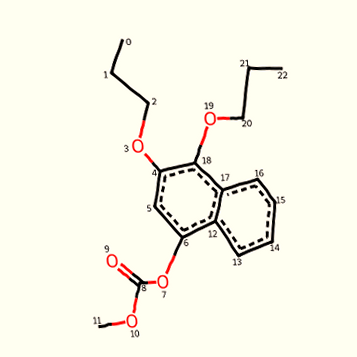 CCCOc1cc(OC(=O)OC)c2ccccc2c1OCCC